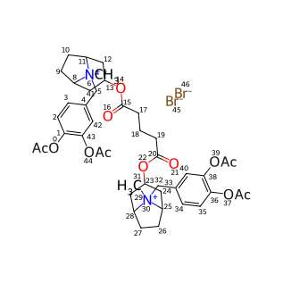 CC(=O)Oc1ccc(C[N+]2(C)C3CCC2CC(OC(=O)CCCC(=O)OC2CC4CCC(C2)[N+]4(C)Cc2ccc(OC(C)=O)c(OC(C)=O)c2)C3)cc1OC(C)=O.[Br-].[Br-]